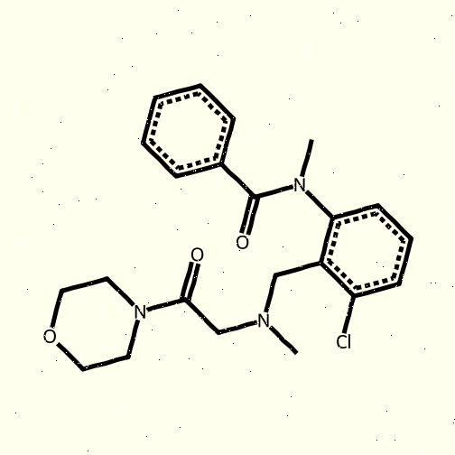 CN(CC(=O)N1CCOCC1)Cc1c(Cl)cccc1N(C)C(=O)c1ccccc1